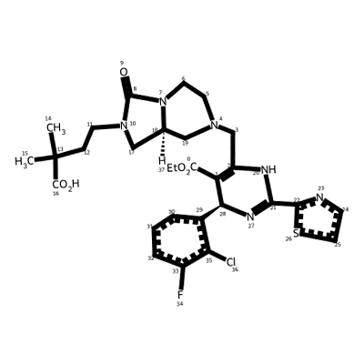 CCOC(=O)C1=C(CN2CCN3C(=O)N(CCC(C)(C)C(=O)O)C[C@@H]3C2)NC(c2nccs2)=N[C@H]1c1cccc(F)c1Cl